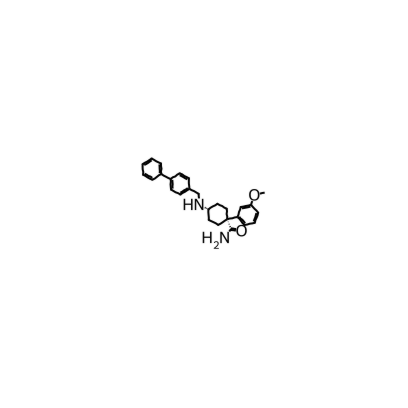 COc1cccc([C@]2(C(N)=O)CC[C@@H](NCc3ccc(-c4ccccc4)cc3)CC2)c1